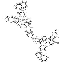 CCc1ccc2c(c1)sc1c(N(c3ccc(-c4cccc5ccccc45)cc3)c3cccc4c3sc3ccc(CCc5cc6c(cc5CC)sc5c(N(c7ccc(-c8cccc9ccccc89)cc7)c7cccc8c7sc7cc(C)ccc78)cccc56)cc34)cccc12